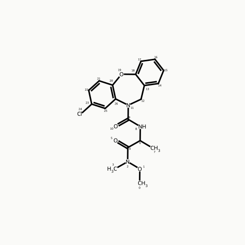 CON(C)C(=O)C(C)NC(=O)N1Cc2ccccc2Oc2ccc(Cl)cc21